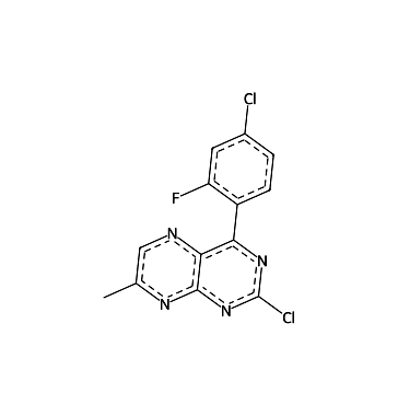 Cc1cnc2c(-c3ccc(Cl)cc3F)nc(Cl)nc2n1